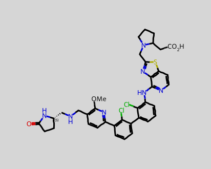 COc1nc(-c2cccc(-c3cccc(Nc4nccc5sc(CN6CCCC6CC(=O)O)nc45)c3Cl)c2Cl)ccc1CNC[C@@H]1CCC(=O)N1